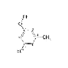 CCOc1cc(C)cc(CC)c1